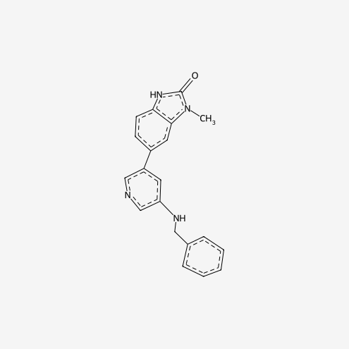 Cn1c(=O)[nH]c2ccc(-c3cncc(NCc4ccccc4)c3)cc21